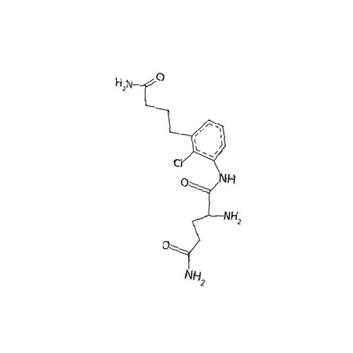 NC(=O)CCCc1cccc(NC(=O)C(N)CCC(N)=O)c1Cl